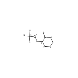 CN1CCCCC1COC(C)(C)C